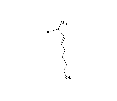 CCCCCC=CC(C)O